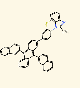 Cc1nc2cccc3c2n1-c1ccc(-c2ccc4c(-c5ccc6ccccc6c5)c5ccccc5c(-c5ccc6ccccc6c5)c4c2)cc1S3